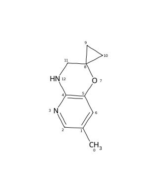 Cc1cnc2c(c1)OC1(CC1)CN2